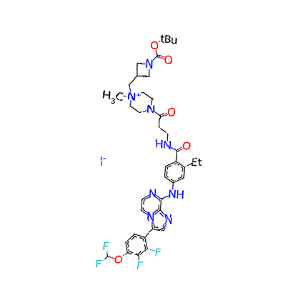 CCc1cc(Nc2nccn3c(-c4ccc(OC(F)F)c(F)c4F)cnc23)ccc1C(=O)NCCC(=O)N1CC[N+](C)(CC2CN(C(=O)OC(C)(C)C)C2)CC1.[I-]